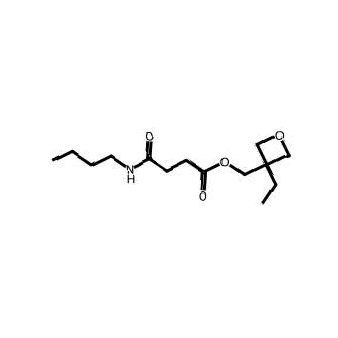 CCCCNC(=O)CCC(=O)OCC1(CC)COC1